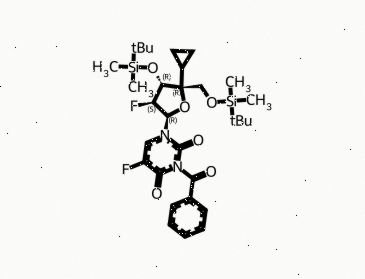 CC(C)(C)[Si](C)(C)OC[C@@]1(C2CC2)O[C@@H](n2cc(F)c(=O)n(C(=O)c3ccccc3)c2=O)[C@@H](F)[C@@H]1O[Si](C)(C)C(C)(C)C